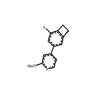 COc1cc(-c2cc(F)c3c(c2)CC3)ccn1